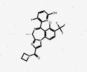 C[C@@H]1N=C(c2nc(O)ccc2F)c2c(ccc(C(F)(F)F)c2Cl)-n2cc(C(=O)N3CCC3)nc21